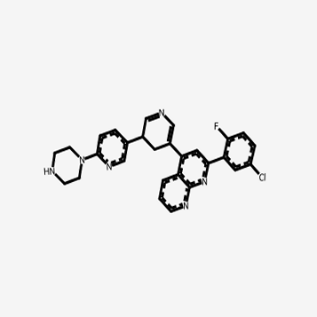 Fc1ccc(Cl)cc1-c1cc(C2=CN=CC(c3ccc(N4CCNCC4)nc3)C2)c2cccnc2n1